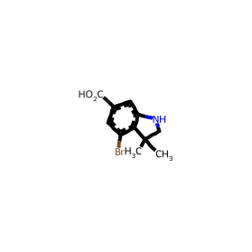 CC1(C)CNc2cc(C(=O)O)cc(Br)c21